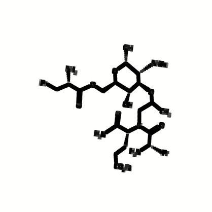 CCOC(=O)CC[C@H](C(N)=O)N(CC(C)O[C@H]1[C@H](O)[C@@H](COC(=O)[C@@H](N)CC(C)C)O[C@H](O)[C@@H]1NC(C)=O)C(=O)[C@@H](N)C(C)C